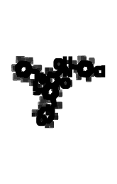 O=C(NCc1ccc(Cl)cc1)c1cn2c3c(cc(CN4CCOCC4)cc3c1=O)SCN2Cc1ccccc1